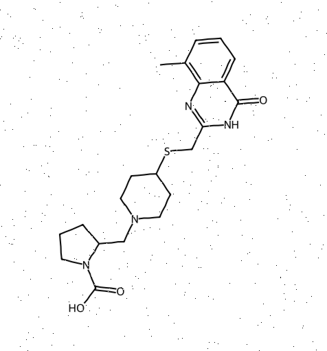 Cc1cccc2c(=O)[nH]c(CSC3CCN(CC4CCCN4C(=O)O)CC3)nc12